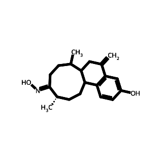 C=C1CC2C(C)CC/C(=N\O)[C@@H](C)CCC2c2ccc(O)cc21